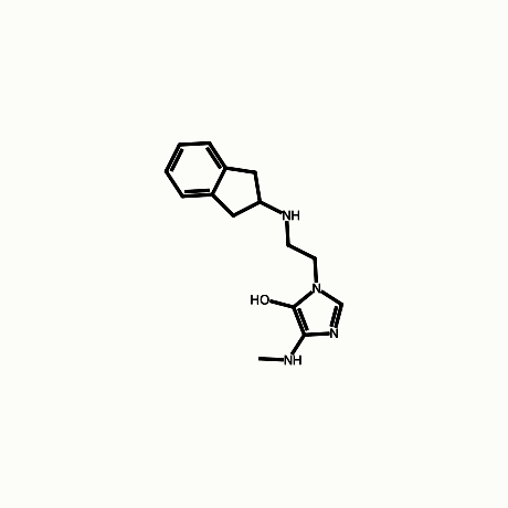 CNc1ncn(CCNC2Cc3ccccc3C2)c1O